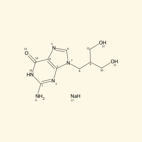 Nc1nc2c(ncn2CC(CO)CO)c(=O)[nH]1.[NaH]